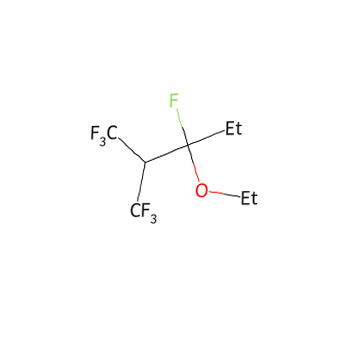 CCOC(F)(CC)C(C(F)(F)F)C(F)(F)F